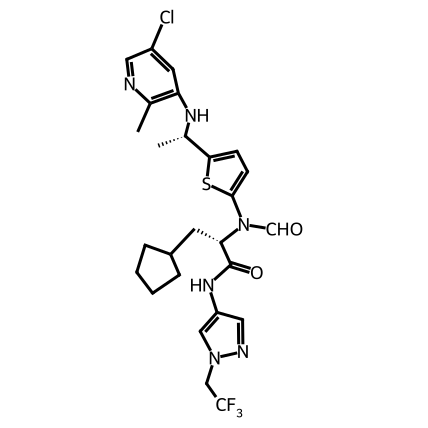 Cc1ncc(Cl)cc1N[C@@H](C)c1ccc(N(C=O)[C@@H](CC2CCCC2)C(=O)Nc2cnn(CC(F)(F)F)c2)s1